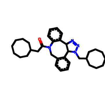 O=C(CC1CCCCCCC1)N1Cc2ccccc2C2C(N=NN2CC2CCCCCCC2)c2ccccc21